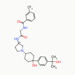 CC(C)(O)c1ccc(C2(O)CCC(N3CC[C@@H](NC(=O)CNC(=O)c4cccc(C(F)(F)F)c4)C3)CC2)cc1